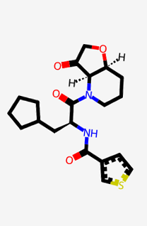 O=C(N[C@@H](CC1CCCC1)C(=O)N1CCC[C@@H]2OCC(=O)[C@@H]21)c1ccsc1